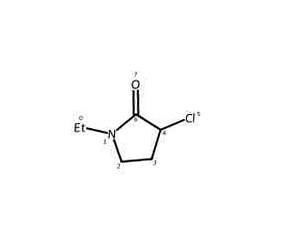 CCN1CCC(Cl)C1=O